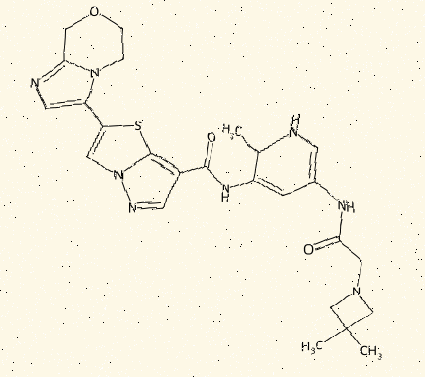 CC1NC=C(NC(=O)CN2CC(C)(C)C2)C=C1NC(=O)c1cnn2cc(-c3cnc4n3CCOC4)sc12